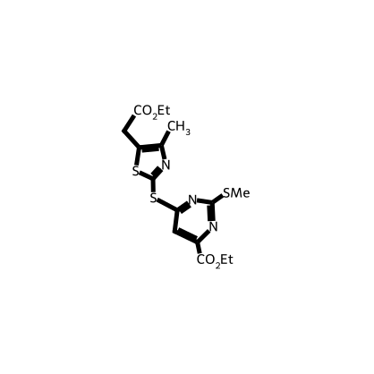 CCOC(=O)Cc1sc(Sc2cc(C(=O)OCC)nc(SC)n2)nc1C